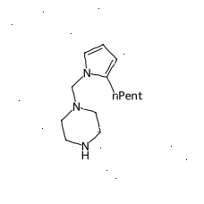 CCCCCc1cccn1CN1CCNCC1